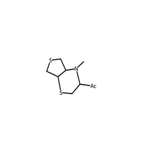 CC(=O)C1CSC2CSCC2N1C